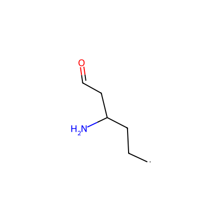 [CH2]CCC(N)CC=O